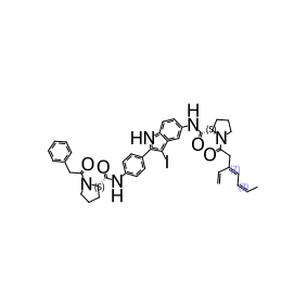 C=C/C(=C\C=C/C)CC(=O)N1CCC[C@H]1C(=O)Nc1ccc2[nH]c(-c3ccc(NC(=O)[C@@H]4CCCN4C(=O)Cc4ccccc4)cc3)c(I)c2c1